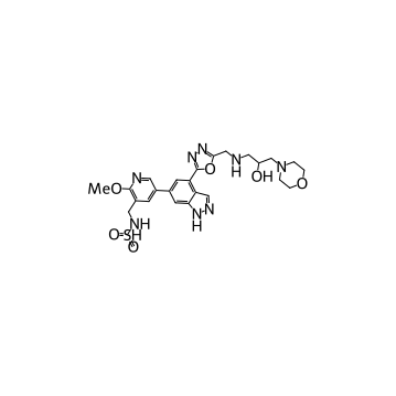 COc1ncc(-c2cc(-c3nnc(CNCC(O)CN4CCOCC4)o3)c3cn[nH]c3c2)cc1CN[SH](=O)=O